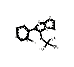 CC(C)(C)Nc1c(-c2ccccc2F)nc2sccn12